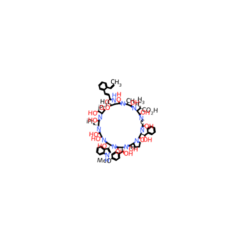 C/C=C\c1ccccc1/C=C/C(=O)N[C@@H]1C(O)=N[C@@H](C)C(O)=N[C@@H]([C@H](C)C(=O)O)C(O)=NCC(O)=N[C@@H](C(O)c2ccccc2)C(=O)N2CCC[C@H]2C(O)=N[C@@H](C(O)c2ccc(OC)cc2)C(O)=N[C@H](c2c[nH]c3ccccc23)C(O)=NC(O)C(O)=N[C@H](CC(C)C)C(O)=N[C@@H]([C@@H](O)C(C)C)C(=O)OC1C